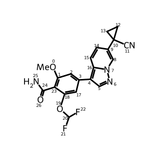 COc1cc(-c2cnn3cc(C4(C#N)CC4)ccc23)cc(OC(F)F)c1C(N)=O